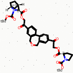 CC(C)(C)OC(=O)N1CCC[C@H]1C(=O)OCC(=O)c1ccc2c(c1)COCc1cc(C(=O)COC(=O)[C@@H]3[C@H]4CC[C@H](C4)N3C(=O)OC(C)(C)C)ccc1-2